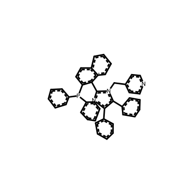 c1ccc(-c2nc(-c3c(P(c4ccccc4)c4ccccc4)ccc4ccccc34)n(Cc3ccncc3)c2-c2ccccc2)cc1